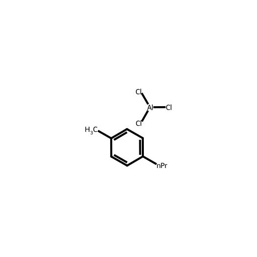 C[CH]Cc1ccc(C)cc1.[Cl][Al]([Cl])[Cl]